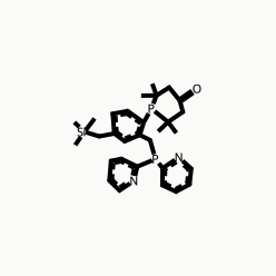 CC1(C)CC(=O)CC(C)(C)P1c1ccc(C[Si](C)(C)C)cc1CP(c1ccccn1)c1ccccn1